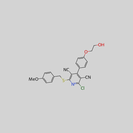 COc1ccc(CSc2nc(Cl)c(C#N)c(-c3ccc(OCCO)cc3)c2C#N)cc1